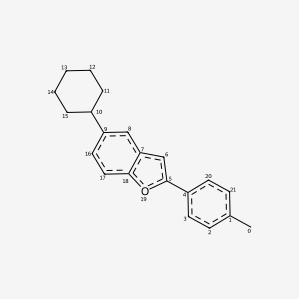 Cc1ccc(-c2cc3cc(C4CCCCC4)ccc3o2)cc1